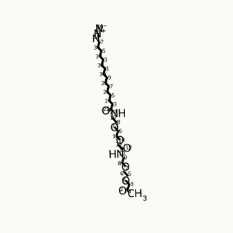 CC(=O)COCCOCCNC(=O)COCCOCCNC(=O)CCCCCCCCCCCCCCCN=[N+]=[N-]